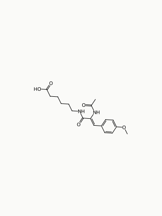 COc1ccc(/C=C(\NC(C)=O)C(=O)NCCCCCC(=O)O)cc1